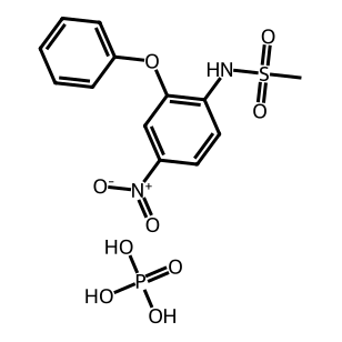 CS(=O)(=O)Nc1ccc([N+](=O)[O-])cc1Oc1ccccc1.O=P(O)(O)O